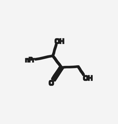 CCCC(O)C(=O)CO